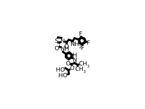 CC(C)[C@@H](Nc1ccc(CNC(=O)[C@@H]2SCCN2C(=O)C[C@H](N)Cc2cc(F)c(F)cc2F)cc1)C(=O)OC(CO)CO